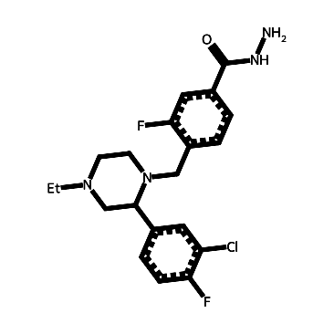 CCN1CCN(Cc2ccc(C(=O)NN)cc2F)C(c2ccc(F)c(Cl)c2)C1